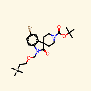 CC(C)(C)OC(=O)N1CCC2(CC1)C(=O)N(COCC[Si](C)(C)C)c1ccc(Br)cc12